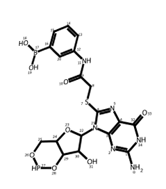 Nc1nc2c(nc(SCC(=O)Nc3cccc(B(O)O)c3)n2C2OC3COPOC3C2O)c(=O)[nH]1